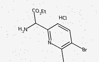 CCOC(=O)C(N)c1ccc(Br)c(C)n1.Cl